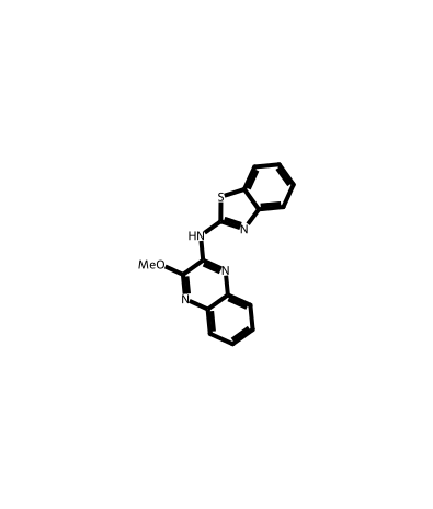 COc1nc2ccccc2nc1Nc1nc2ccccc2s1